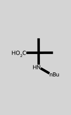 CCCCNC(C)(C)C(=O)O